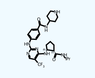 CC(C)NC(=O)[C@H]1CCC[C@H]1Nc1nc(Nc2ccc(C(=O)NC3CCNCC3)cc2)ncc1C(F)(F)F